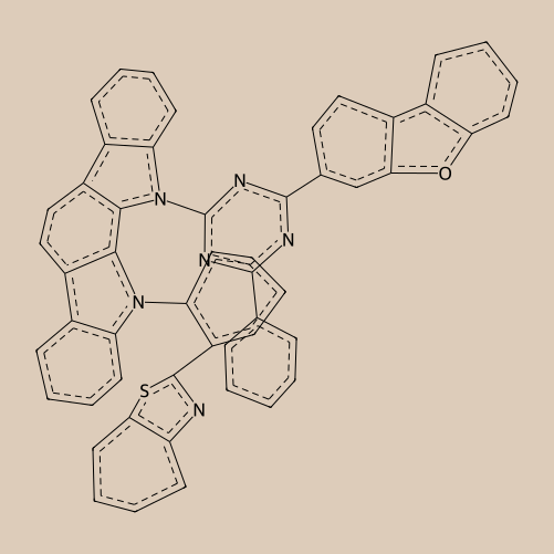 c1ccc(-c2nc(-c3ccc4c(c3)oc3ccccc34)nc(-n3c4ccccc4c4ccc5c6ccccc6n(-c6ccccc6-c6nc7ccccc7s6)c5c43)n2)cc1